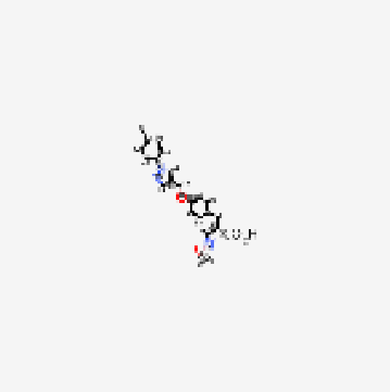 CCCO/N=C(\C)C(Cc1ccc(OCc2cnn(-c3ccc(C)cc3)c2)cc1)C(=O)O